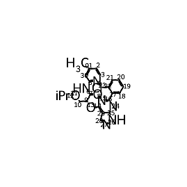 Cc1ccnc(NC(=O)C(COC(C)C)Oc2nc(-c3ccccc3Cl)nc3[nH]ncc23)c1